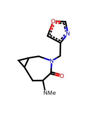 CNC1CC2CC2CN(Cc2cocn2)C1=O